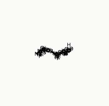 Cn1nc(N2CCC(=O)NC2=O)c2cccc(NC(=O)CN3CCN(CCCO[C@H]4CC[C@H](N5C(=S)N(c6cnc(C#N)c(C(F)(F)F)c6)C(=O)C5(C)C)CC4)C[C@@H]3C(F)(F)F)c21